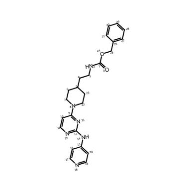 O=C(NCCC1CCN(c2ccnc(Nc3ccncc3)n2)CC1)OCc1ccccc1